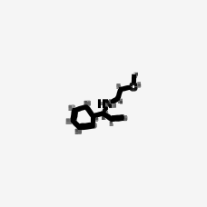 C=C[C@H](NCCOC)C1C=CC=CC1